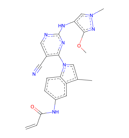 C=CC(=O)Nc1ccc2c(c1)c(C)cn2-c1nc(Nc2cn(C)nc2OC)ncc1C#N